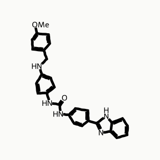 COc1ccc(CNc2ccc(NC(=O)Nc3ccc(-c4nc5ccccc5[nH]4)cc3)cc2)cc1